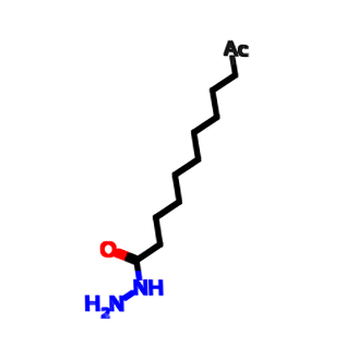 CC(=O)CCCCCCCCCC(=O)NN